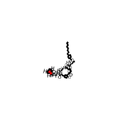 CCCCCCCCc1ccc(C(=O)N[C@@H](CCC)C(=O)N(C)[C@@H]2C(=O)N[C@@H](C)C(=O)N[C@H](C(=O)N[C@@H](C)B3O[C@@H]4C[C@@H]5C[C@@H](C5(C)C)[C@]4(C)O3)Cc3ccc(OC)c(c3)-c3cc2ccc3OC)cc1